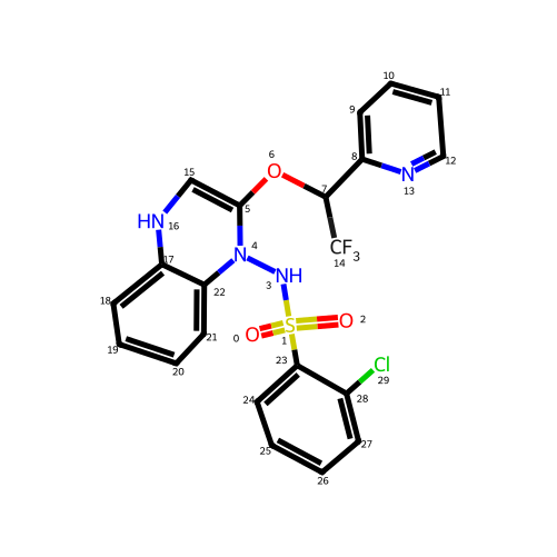 O=S(=O)(NN1C(OC(c2ccccn2)C(F)(F)F)=CNc2ccccc21)c1ccccc1Cl